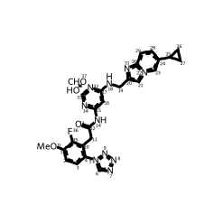 COc1ccc(-n2cnnn2)c(CC(=O)Nc2cc(NCc3cn4cc(C5CC5)ccc4n3)ncn2)c1F.O=CO